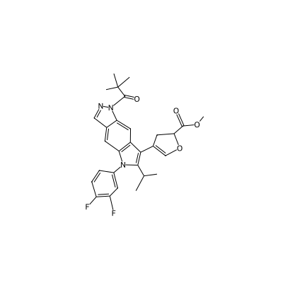 COC(=O)C1CC(c2c(C(C)C)n(-c3ccc(F)c(F)c3)c3cc4cnn(C(=O)C(C)(C)C)c4cc23)=CO1